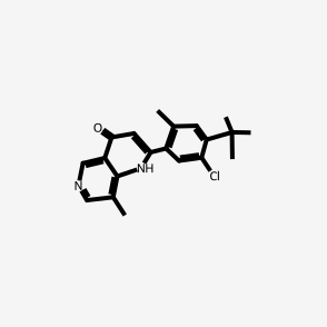 Cc1cc(C(C)(C)C)c(Cl)cc1-c1cc(=O)c2cncc(C)c2[nH]1